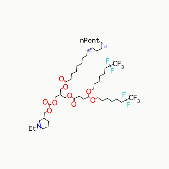 CCCCC/C=C\C/C=C\CCCCCCCC(=O)OCC(COC(=O)CCC(OCCCCCCC(F)(F)C(F)(F)F)OCCCCCCC(F)(F)C(F)(F)F)COC(=O)OCC1CCCN(CC)C1